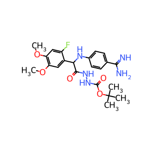 COc1cc(F)c(C(Nc2ccc(C(=N)N)cc2)C(=O)NNC(=O)OC(C)(C)C)cc1OC